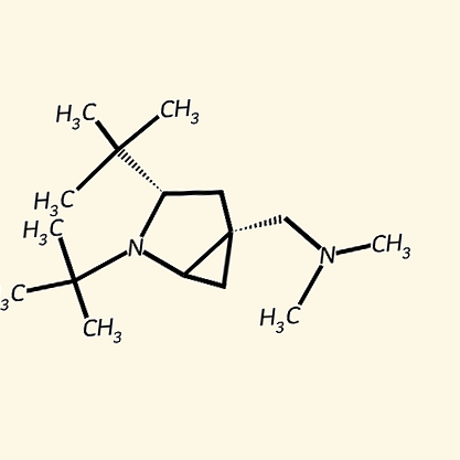 CN(C)C[C@]12CC1N(C(C)(C)C)[C@H](C(C)(C)C)C2